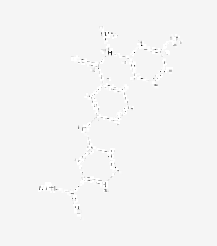 CNC(=O)c1cc(Oc2cccc(C(=O)N(OC)c3cccc(C(F)(F)F)c3)c2)ccn1